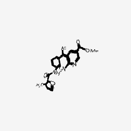 COC(=O)c1cnc(N)c(C(C(C)=O)c2cccc(NC(=O)c3occc3C)c2)c1